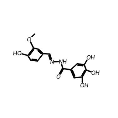 COc1cc(C=NNC(=O)c2cc(O)c(O)c(O)c2)ccc1O